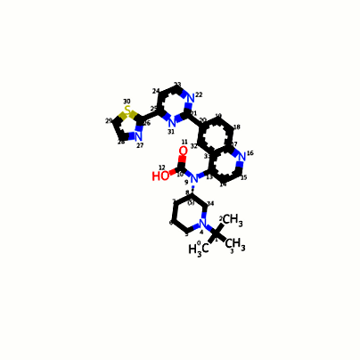 CC(C)(C)N1CCC[C@H](N(C(=O)O)c2ccnc3ccc(-c4nccc(-c5nccs5)n4)cc23)C1